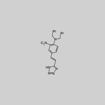 CC(C)CN(CC(C)C)c1ccc(/C=C/c2nnn[nH]2)cc1[N+](=O)[O-]